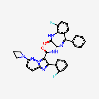 O=C(N[C@H]1N=C(c2ccccc2)c2cccc(F)c2NC1=O)c1c(-c2ccccc2F)nc2ccc(N3CCC3)nn12